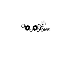 COC(=O)C(C)Oc1ccc(Oc2ccc(Cl)cc2)cc1